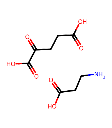 NCCC(=O)O.O=C(O)CCC(=O)C(=O)O